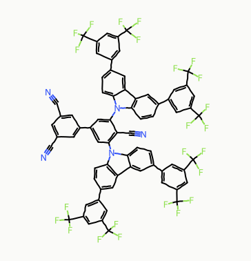 N#Cc1cc(C#N)cc(-c2cc(-n3c4ccc(-c5cc(C(F)(F)F)cc(C(F)(F)F)c5)cc4c4cc(-c5cc(C(F)(F)F)cc(C(F)(F)F)c5)ccc43)c(C#N)c(-n3c4ccc(-c5cc(C(F)(F)F)cc(C(F)(F)F)c5)cc4c4cc(-c5cc(C(F)(F)F)cc(C(F)(F)F)c5)ccc43)c2)c1